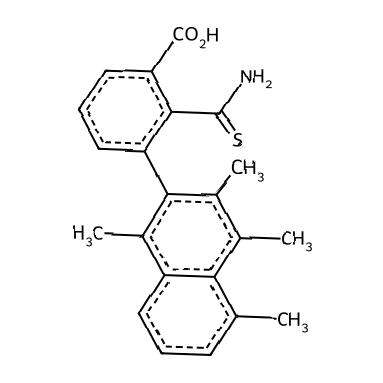 Cc1c(-c2cccc(C(=O)O)c2C(N)=S)c(C)c2cccc(C)c2c1C